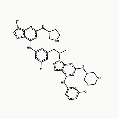 CC(C)n1cnc2c(Nc3cc(Cl)cc(CC(C)n4cnc5c(Nc6cccc(Cl)c6)nc(N[C@@H]6CCCNC6)nc54)c3)nc(N[C@H]3CCNC3)nc21